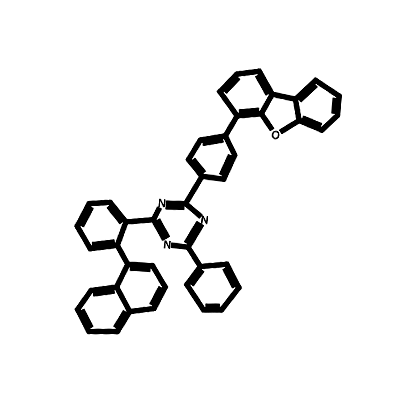 c1ccc(-c2nc(-c3ccc(-c4cccc5c4oc4ccccc45)cc3)nc(-c3ccccc3-c3cccc4ccccc34)n2)cc1